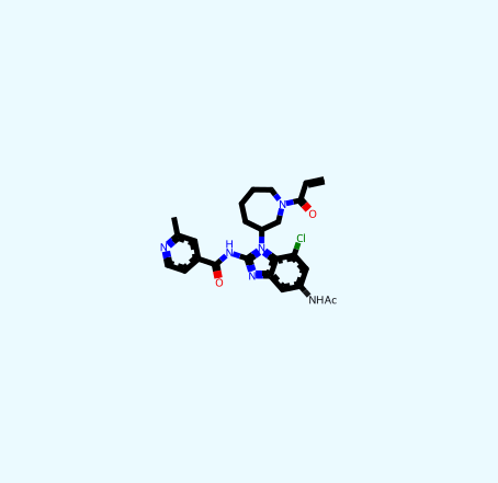 C=CC(=O)N1CCCCC(n2c(NC(=O)c3ccnc(C)c3)nc3cc(NC(C)=O)cc(Cl)c32)C1